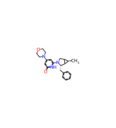 C[C@@H]1C2CN(c3cc(N4CCOCC4)cc(=O)[nH]3)[C@@H](Cc3ccccc3)C21